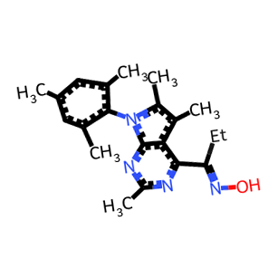 CC/C(=N\O)c1nc(C)nc2c1c(C)c(C)n2-c1c(C)cc(C)cc1C